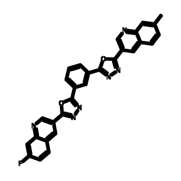 Cc1ccc2cc(-c3nnc(-c4cccc(-c5nnc(-c6cnc7cc(F)ccc7c6)o5)c4)o3)cnc2c1